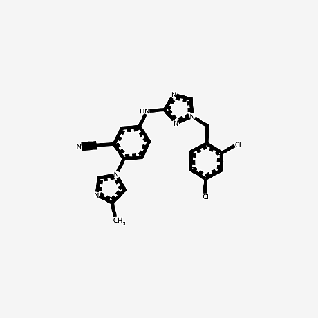 Cc1cn(-c2ccc(Nc3ncn(Cc4ccc(Cl)cc4Cl)n3)cc2C#N)cn1